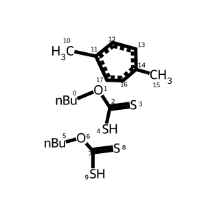 CCCCOC(=S)S.CCCCOC(=S)S.Cc1ccc(C)cc1